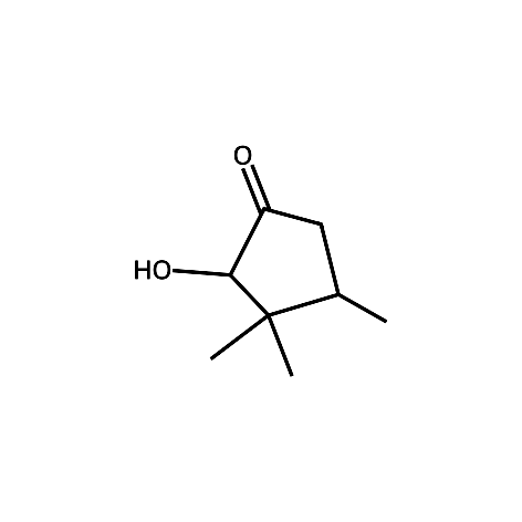 CC1CC(=O)C(O)C1(C)C